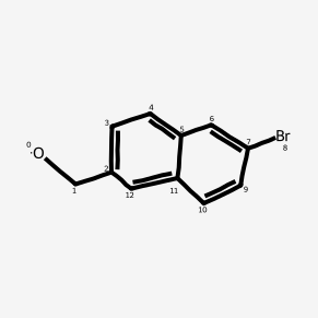 [O]Cc1ccc2cc(Br)ccc2c1